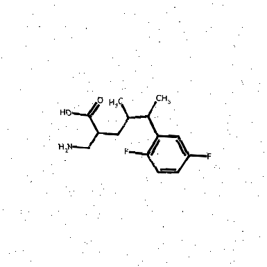 CC(CC(CN)C(=O)O)C(C)c1cc(F)ccc1F